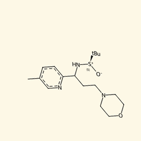 Cc1ccc(C(CCN2CCOCC2)N[S@+]([O-])C(C)(C)C)nc1